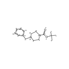 CC(C)(C)OC(=O)N1CCN(Cc2cccnc2)CC1